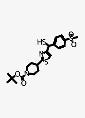 CC(C)(C)OC(=O)N1CCC(c2nc(C(S)c3ccc(S(C)(=O)=O)cc3)cs2)CC1